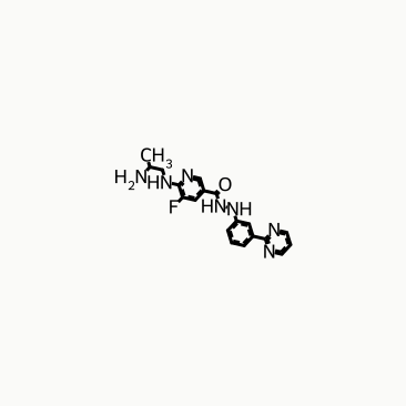 CC(N)CNc1ncc(C(=O)NNc2cccc(-c3ncccn3)c2)cc1F